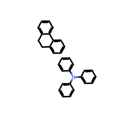 c1ccc(N(c2ccccc2)c2ccccc2)cc1.c1ccc2c(c1)CCc1ccccc1-2